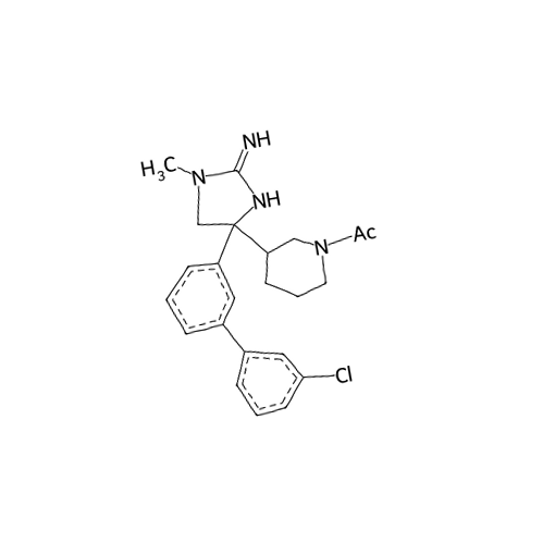 CC(=O)N1CCCC(C2(c3cccc(-c4cccc(Cl)c4)c3)CN(C)C(=N)N2)C1